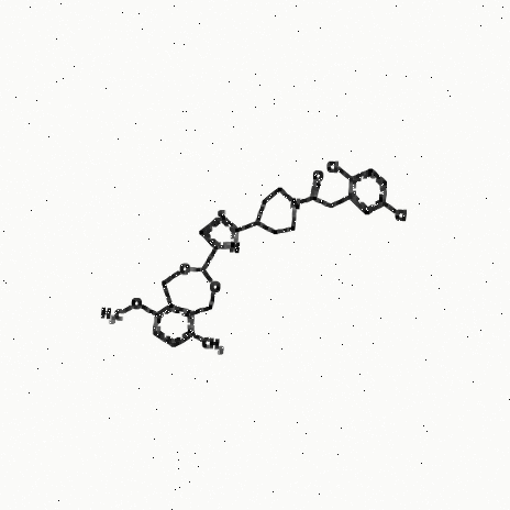 COc1ccc(C)c2c1COC(c1csc(C3CCN(C(=O)Cc4cc(Cl)ccc4Cl)CC3)n1)OC2